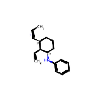 C=CC1[C@@H](/C=C\C)CCC[C@H]1Nc1ccccc1